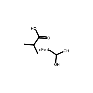 CC(C)C(=O)O.CCCCCC(O)O